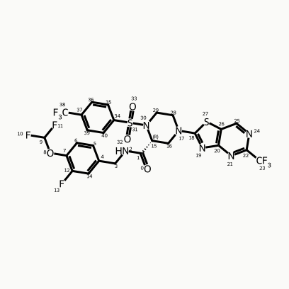 O=C(NCc1ccc(OC(F)F)c(F)c1)[C@H]1CN(c2nc3nc(C(F)(F)F)ncc3s2)CCN1S(=O)(=O)c1ccc(C(F)(F)F)cc1